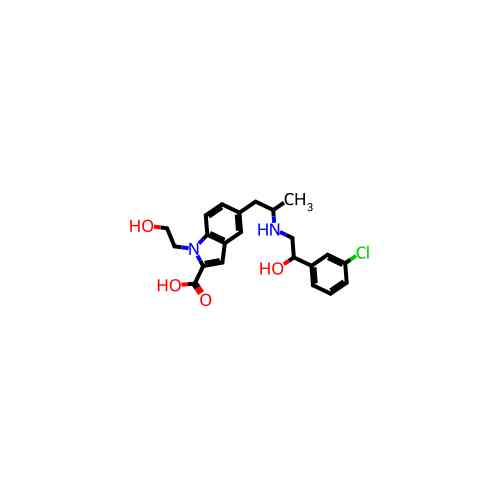 CC(Cc1ccc2c(c1)cc(C(=O)O)n2CCO)NCC(O)c1cccc(Cl)c1